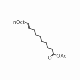 CCCCCCCCC=CCCCCCCCC(=O)OC(C)=O